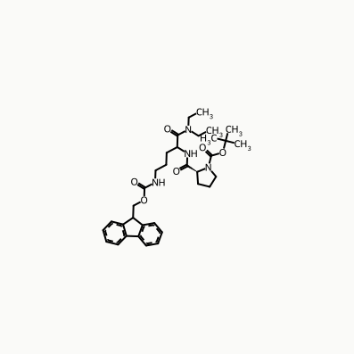 CCN(CC)C(=O)C(CCCNC(=O)OCC1c2ccccc2-c2ccccc21)NC(=O)[C@@H]1CCCN1C(=O)OC(C)(C)C